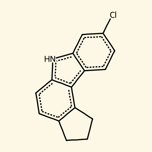 Clc1ccc2c(c1)[nH]c1ccc3c(c12)CCC3